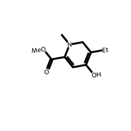 CCC1=C(O)C=C(C(=O)OC)N(C)C1